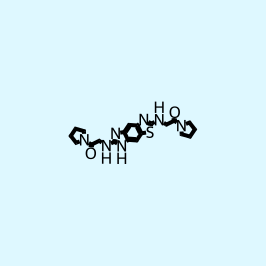 O=C(CNc1nc2cc3nc(NCC(=O)N4CCCC4)sc3cc2[nH]1)N1CCCC1